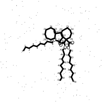 CCCCCCCCCOC(=O)C1=C(C2=CCCCCCC2)CCCCCC1(C(=O)OCCCCCCCCC)C(=O)OCCCCCCCCC